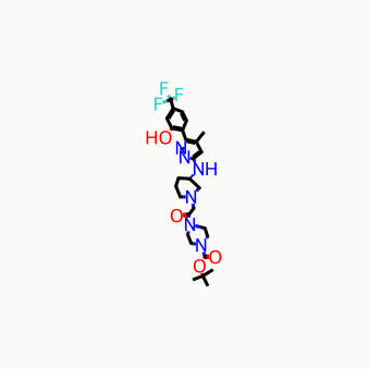 Cc1cc(N[C@@H]2CCCN(CC(=O)N3CCN(C(=O)OC(C)(C)C)CC3)C2)nnc1-c1ccc(C(F)(F)F)cc1O